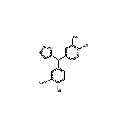 COc1cc(C(c2ccc(O)c(OC)c2)c2ccco2)ccc1O